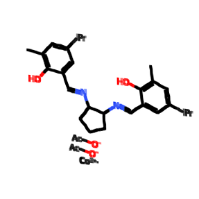 CC(=O)[O-].CC(=O)[O-].Cc1cc(C(C)C)cc(C=NC2CCCC2N=Cc2cc(C(C)C)cc(C)c2O)c1O.[Co+2]